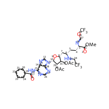 COC(=O)[C@H](CC[C@@H](C[C@H]1O[C@@H](n2cnc3c(NC(=O)c4ccccc4)ncnc32)[C@@H](OC(C)=O)C1OC(C)=O)NCC(F)(F)F)N=COC(F)(F)F